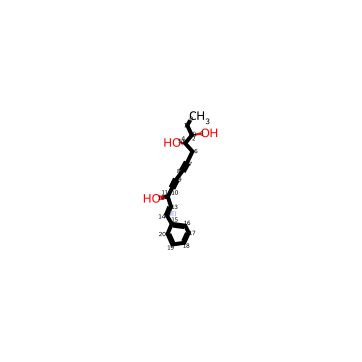 CC[C@@H](O)[C@H](O)CC#CC#CC(O)/C=C/c1ccccc1